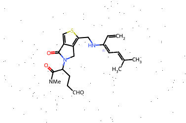 C=C/C(=C\C=C(C)C)NCc1scc2c1CN(C(CCC=O)C(=O)NC)C2=O